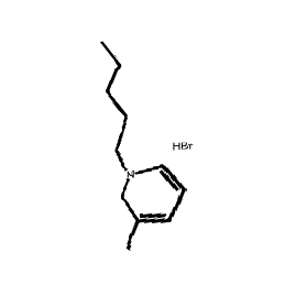 Br.CCCCCN1C=CC=C(C)C1